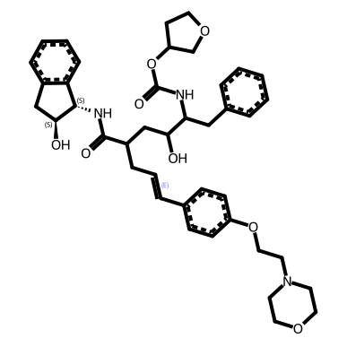 O=C(NC(Cc1ccccc1)C(O)CC(C/C=C/c1ccc(OCCN2CCOCC2)cc1)C(=O)N[C@H]1c2ccccc2C[C@@H]1O)OC1CCOC1